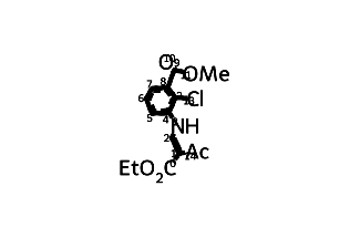 CCOC(=O)C(=CNc1cccc(C(=O)OC)c1Cl)C(C)=O